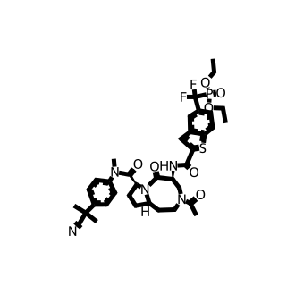 CCOP(=O)(OCC)C(F)(F)c1ccc2sc(C(=O)N[C@H]3CN(C(C)=O)CC[C@H]4CC[C@@H](C(=O)N(C)c5ccc(C(C)(C)C#N)cc5)N4C3=O)cc2c1